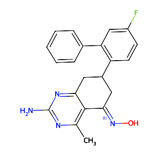 Cc1nc(N)nc2c1/C(=N/O)CC(c1ccc(F)cc1-c1ccccc1)C2